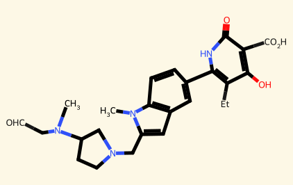 CCc1c(-c2ccc3c(c2)cc(CN2CCC(N(C)CC=O)C2)n3C)[nH]c(=O)c(C(=O)O)c1O